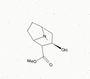 COC(=O)C1C2CCC(C[C@H]1O)N2C